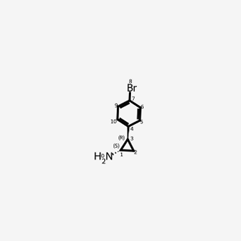 N[C@H]1C[C@@H]1c1ccc(Br)cc1